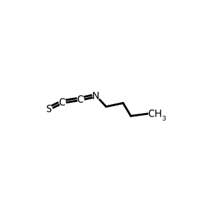 CCCCN=C=C=S